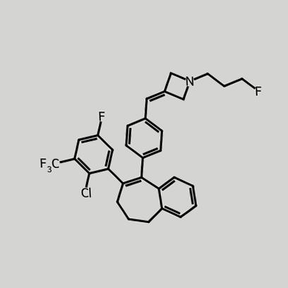 FCCCN1CC(=Cc2ccc(C3=C(c4cc(F)cc(C(F)(F)F)c4Cl)CCCc4ccccc43)cc2)C1